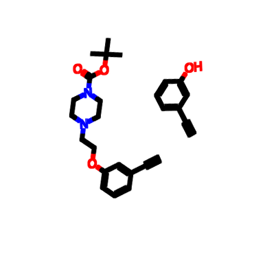 C#Cc1cccc(O)c1.C#Cc1cccc(OCCN2CCN(C(=O)OC(C)(C)C)CC2)c1